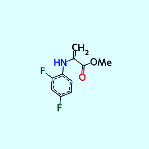 C=C(Nc1ccc(F)cc1F)C(=O)OC